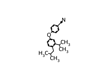 CC(C)Cc1ccc(Oc2ccc(C#N)cc2)cc1C(C)C